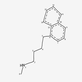 CNCCCCc1cccc2ccccc12